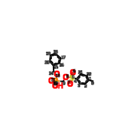 Cc1ccc(S(=O)(=O)OCP(=O)(O)OCc2ccccc2)cc1